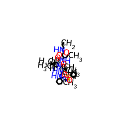 C=CCNC(=O)C(=O)C(CCC)NC(=O)[C@@H]1[C@@H]2[C@H](CN1C(=O)[C@@H](NC(=O)NC1(CN(C)S(=O)(=O)c3ccccc3)CCCCC1)C(C)(C)C)C2(C)C